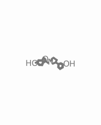 Oc1cccc(C2CCCN(Cc3occ4cc(O)ccc34)C2)c1